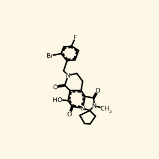 CN1C(=O)c2c3c(c(O)c(=O)n2C12CCCC2)C(=O)N(Cc1ccc(F)cc1Br)CC3